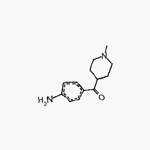 CN1CCC(C(=O)c2ccc(N)cc2)CC1